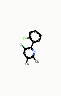 N#Cc1cc(Cl)c(-c2ccccc2F)nc1C#N